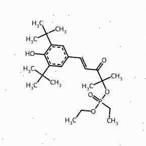 CCOP(=O)(CC)OC(C)(C)C(=O)C=Cc1cc(C(C)(C)C)c(O)c(C(C)(C)C)c1